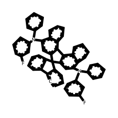 Fc1cccc(N(c2ccccc2)c2cc3c(c4ccccc24)-c2c(cc(N(c4ccccc4)c4cccc(F)c4)c4ccccc24)C32c3ccccc3-c3ccccc32)c1